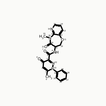 Cc1cc(=O)c(C(=O)NC2COc3cccnc3N(C)C2=O)nn1-c1ccccc1